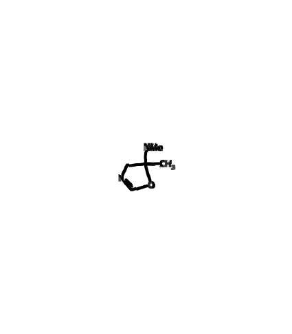 CNC1(C)CN=CO1